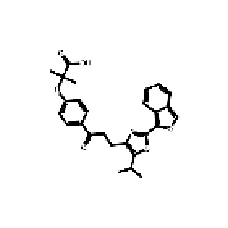 CC(C)c1oc(-c2occ3ccccc23)nc1CCC(=O)c1ccc(OC(C)(C)C(=O)O)cc1